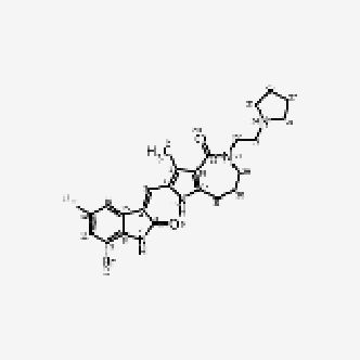 Cc1c(C=C2C(=O)Nc3c(Br)cc(F)cc32)[nH]c2c1C(=O)N(CCN1CCCC1)CCC2